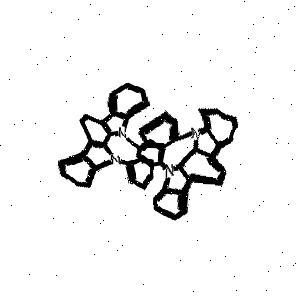 C1=c2c3c(n(-c4ccccc4)c2=CCC1)-c1c(c2ccccc2n1-c1ccc(-n2c4ccccc4c4ccc5c6c(n(-c7ccccc7)c5c42)=CCCCC=6)cc1)CC3